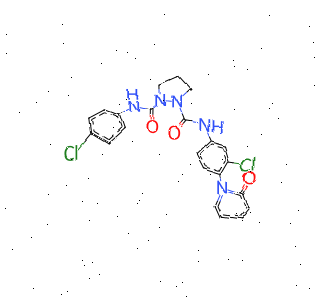 O=C(Nc1ccc(Cl)cc1)N1CCCN1C(=O)Nc1ccc(-n2ccccc2=O)c(Cl)c1